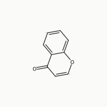 O=c1c[c]oc2cc[c]cc12